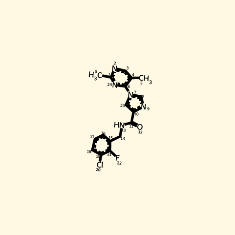 Cc1ncc(C)c(-n2cnc(C(=O)NCc3cccc(Cl)c3F)c2)n1